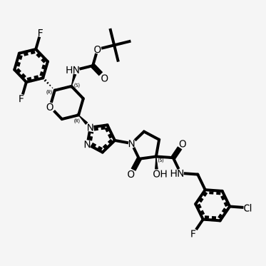 CC(C)(C)OC(=O)N[C@H]1C[C@@H](n2cc(N3CC[C@](O)(C(=O)NCc4cc(F)cc(Cl)c4)C3=O)cn2)CO[C@@H]1c1cc(F)ccc1F